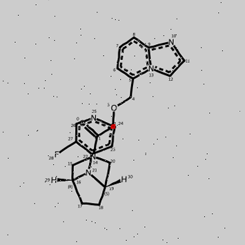 O=C(COCc1cccc2nccn12)N1C[C@H]2CC[C@@H](C1)N2c1ccncc1F